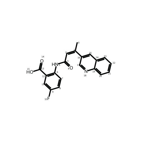 C/C(=C/C(=O)Nc1ccc(F)cc1C(=O)O)c1cnc2ccccc2c1